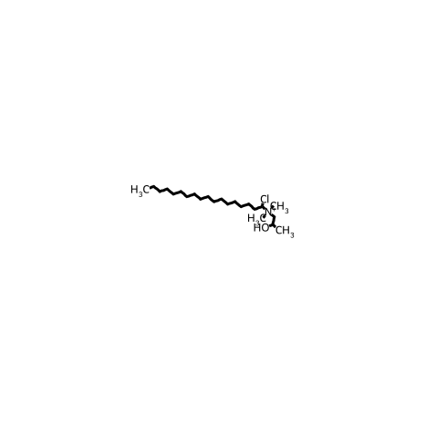 CCCCCCCCCCCCCCCCCC(Cl)[N+](C)(C)CC(C)O